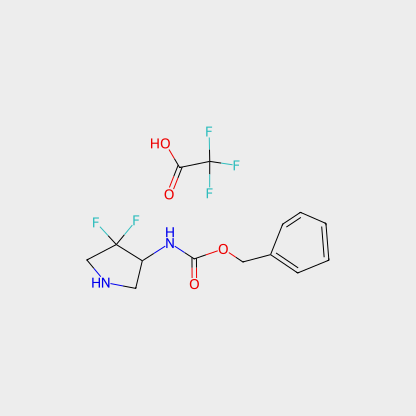 O=C(NC1CNCC1(F)F)OCc1ccccc1.O=C(O)C(F)(F)F